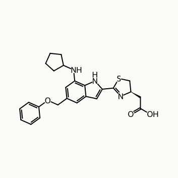 O=C(O)C[C@@H]1CSC(c2cc3cc(COc4ccccc4)cc(NC4CCCC4)c3[nH]2)=N1